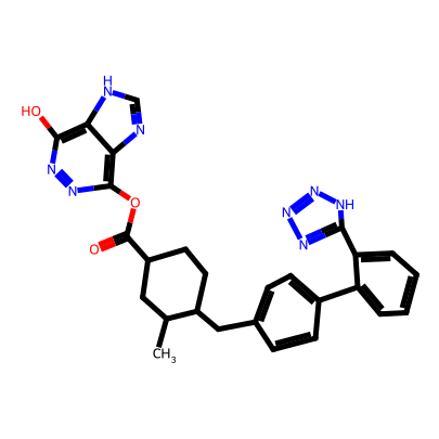 CC1CC(C(=O)Oc2nnc(O)c3[nH]cnc23)CCC1Cc1ccc(-c2ccccc2-c2nnn[nH]2)cc1